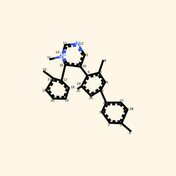 Cc1ccc(-c2cc(C)c(-c3cnc[n+](C)c3-c3ccccc3C)c(C)c2)cc1